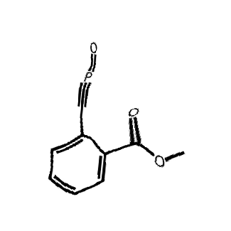 COC(=O)c1ccccc1C#P=O